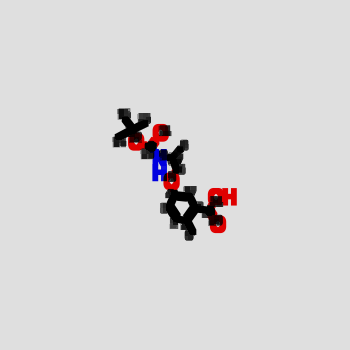 Cc1ccc(OC[C@H](C)NC(=O)OC(C)(C)C)cc1C(=O)O